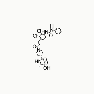 CC(NC(=O)C1CCN(C(=O)C=Cc2ccc(NC(=O)Nc3ccccc3)c(Cl)c2Cl)CC1)C(=O)O